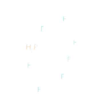 FC(F)(F)C(F)(P)C(F)(F)F